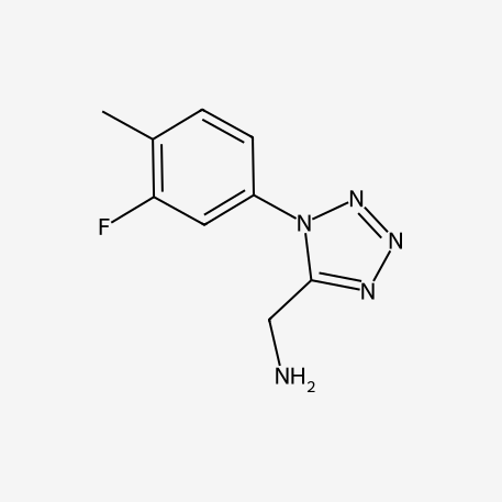 Cc1ccc(-n2nnnc2CN)cc1F